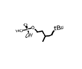 CC(CCOP(=O)(O)O)CC(C)(C)C